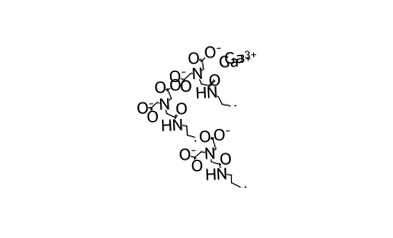 [CH2]CCNC(=O)CN(CC(=O)[O-])CC(=O)[O-].[CH2]CCNC(=O)CN(CC(=O)[O-])CC(=O)[O-].[CH2]CCNC(=O)CN(CC(=O)[O-])CC(=O)[O-].[Ga+3].[Ga+3]